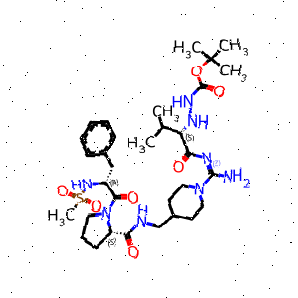 CC(C)[C@H](NNC(=O)OC(C)(C)C)C(=O)/N=C(/N)N1CCC(CNC(=O)[C@@H]2CCCN2C(=O)[C@@H](Cc2ccccc2)NS(C)(=O)=O)CC1